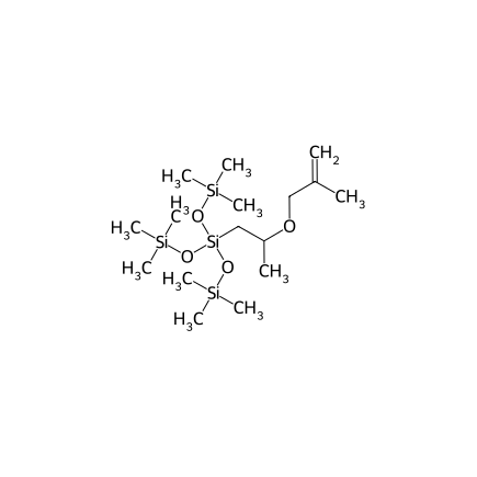 C=C(C)COC(C)C[Si](O[Si](C)(C)C)(O[Si](C)(C)C)O[Si](C)(C)C